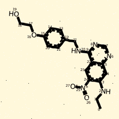 CCNc1cc2ncnc(NCc3ccc(OCCO)cc3)c2cc1[N+](=O)[O-]